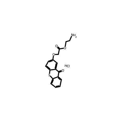 Cl.NCCOC(=O)COc1ccc2sc3ccccc3c(=O)c2c1